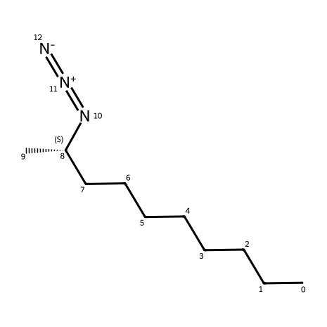 CCCCCCCC[C@H](C)N=[N+]=[N-]